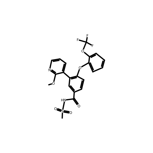 COc1ncccc1-c1cc(C(=O)NS(C)(=O)=O)ccc1Oc1ccccc1OC(F)(F)F